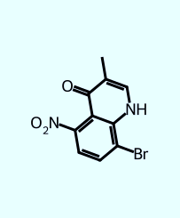 Cc1c[nH]c2c(Br)ccc([N+](=O)[O-])c2c1=O